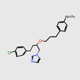 CC(=O)Nc1ccc(CCCOC(CCc2ccc(Cl)cc2)Cn2ccnc2)cc1